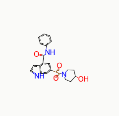 O=C(Nc1ccccc1)c1cc(S(=O)(=O)N2CCC(O)CC2)cc2[nH]ccc12